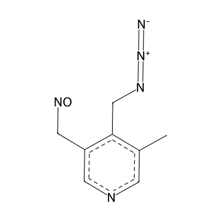 Cc1cncc(CN=O)c1CN=[N+]=[N-]